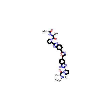 COC(=O)N[C@H](C(=O)N1CCCC1c1nc2cc(-c3ncc(-c4ccc5[nH]c([C@@H]6CCCN6C(=O)[C@H](C(C)C)N(C)C(=O)O)nc5c4)o3)ccc2[nH]1)C(C)C